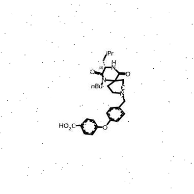 CCCCN1C(=O)[C@H](CC(C)C)NC(=O)C12CCN(Cc1ccc(Oc3ccc(C(=O)O)cc3)cc1)CC2